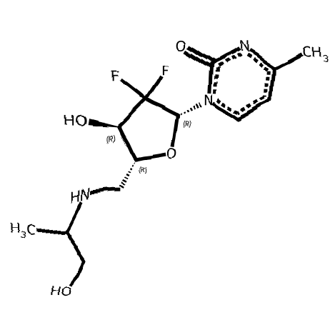 Cc1ccn([C@@H]2O[C@H](CNC(C)CO)[C@@H](O)C2(F)F)c(=O)n1